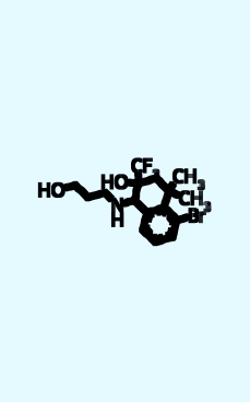 CC1(C)CC(O)(C(F)(F)F)C(NCCCO)c2cccc(Br)c21